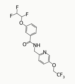 O=C(NCc1ccc(OCC(F)(F)F)cn1)c1cccc(OC(F)C(F)F)c1